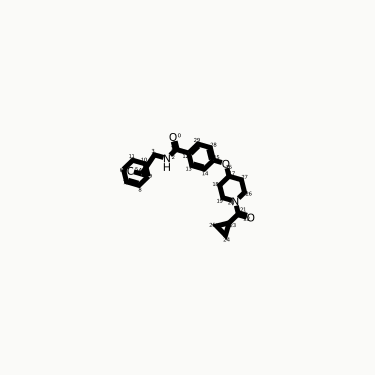 O=C(NCC1CC2C=CC1CC2)c1ccc(OC2CCN(C(=O)C3CC3)CC2)cc1